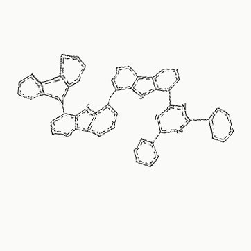 c1ccc(-c2nc(-c3ccccc3)nc(-c3cccc4c3sc3c(-c5cccc6c5sc5c(-n7c8ccccc8c8ccccc87)cccc56)cccc34)n2)cc1